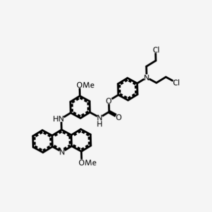 COc1cc(NC(=O)Oc2ccc(N(CCCl)CCCl)cc2)cc(Nc2c3ccccc3nc3c(OC)cccc23)c1